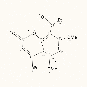 CCCc1cc(=O)oc2c(C(=O)CC)c(OC)cc(OC)c12